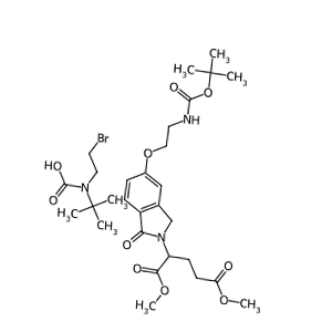 CC(C)(C)N(CCBr)C(=O)O.COC(=O)CCC(C(=O)OC)N1Cc2cc(OCCNC(=O)OC(C)(C)C)ccc2C1=O